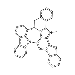 Cn1c2c3c4c(cc5c6ccccc6sc5c41)-n1c4ccccc4c4cccc(c41)C3(C)Cc1ccccc1-2